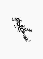 CCn1c(Sc2ccc(Nc3c(C#N)cnc4cc(OCCCN5CCN(C(C)=O)CC5)c(OC)cc34)cc2Cl)nc(C)c1C